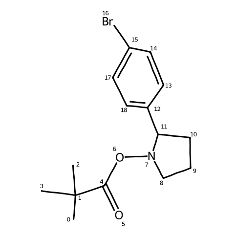 CC(C)(C)C(=O)ON1CCCC1c1ccc(Br)cc1